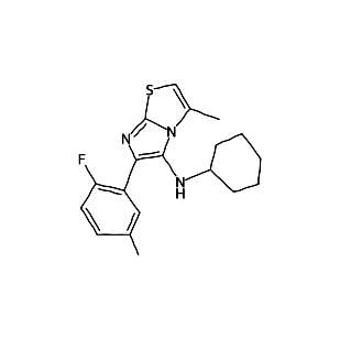 Cc1ccc(F)c(-c2nc3scc(C)n3c2NC2CCCCC2)c1